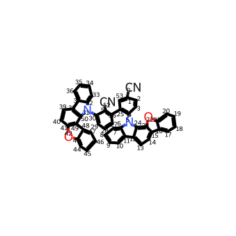 N#Cc1ccc(-n2c3ccccc3c3ccc4c5ccccc5oc4c32)c(-c2cccc(-n3c4ccccc4c4ccc5oc6ccccc6c5c43)c2C#N)c1